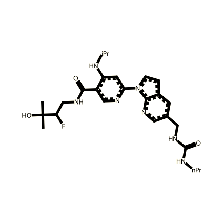 CCCNC(=O)NCc1cnc2c(ccn2-c2cc(NC(C)C)c(C(=O)NCC(F)C(C)(C)O)cn2)c1